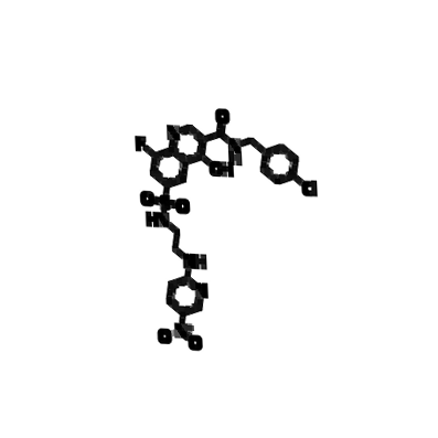 O=C(NCc1ccc(Cl)cc1)c1cnc2c(F)cc(S(=O)(=O)NCCNc3ccc([N+](=O)[O-])cn3)cc2c1O